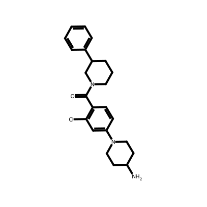 NC1CCN(c2ccc(C(=O)N3CCCC(c4ccccc4)C3)c(Cl)c2)CC1